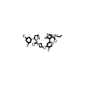 CCNC(=O)c1cnn(C)c1-c1cc(OC2CN(C(=O)N3N=CC[C@H]3c3cc(F)cc(F)c3)C2)c(F)cn1